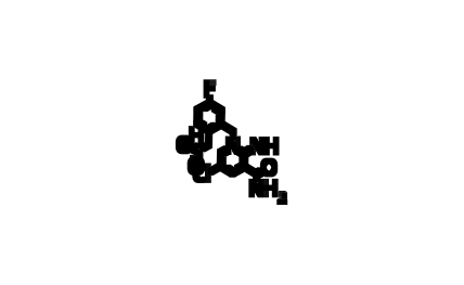 N=c1c(C(N)=O)cc(Cl)cn1Cc1cc(F)ccc1C[SH](=O)=O